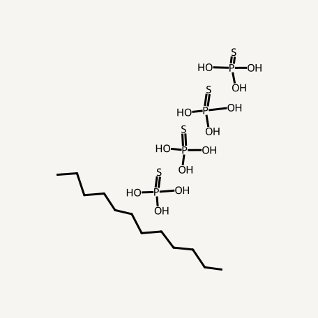 CCCCCCCCCCCC.OP(O)(O)=S.OP(O)(O)=S.OP(O)(O)=S.OP(O)(O)=S